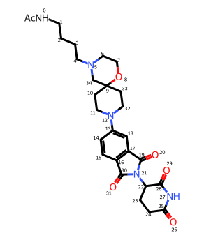 CC(=O)NCCCCN1CCOC2(CCN(c3ccc4c(c3)C(=O)N(C3CCC(=O)NC3=O)C4=O)CC2)C1